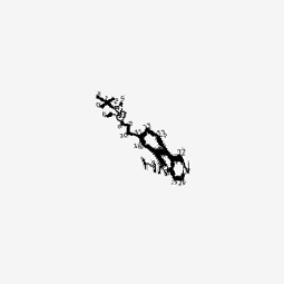 CC(C)(C)[Si](C)(C)OCCCc1ccc2c(c1)[nH]c1ccncc12